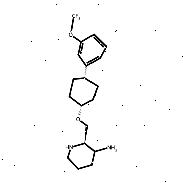 NC1CCCN[C@H]1CO[C@H]1CC[C@@H](c2cccc(OC(F)(F)F)c2)CC1